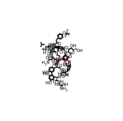 CN[C@H](CC(C)C)C(=O)N[C@H]1C(=O)N[C@@H](CC(N)=O)C(=O)N[C@H]2C(=O)N[C@H]3C(=O)N[C@H](C(=O)N[C@@H](C(=O)NNC(=N)N)c4cc(O)cc(O)c4-c4cc3ccc4O)[C@H](O)c3ccc(c(Cl)c3)Oc3cc2cc(c3O[C@@H]2O[C@H](CO)[C@@H](O)[C@H](O)[C@H]2O[C@H]2C[C@](C)(NCCn3ccc(NC(=O)Cc4ccc(OC(F)(F)F)cc4)nc3=O)[C@H](O)[C@H](C)O2)Oc2ccc(cc2Cl)[C@H]1O